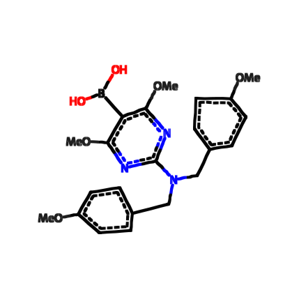 COc1ccc(CN(Cc2ccc(OC)cc2)c2nc(OC)c(B(O)O)c(OC)n2)cc1